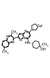 Cc1ccc2nc(C)c(-c3cc4nc(N5CC[C@@H](F)C5)cc(N[C@H]5CC[C@](C)(O)CC5)n4n3)nc2c1